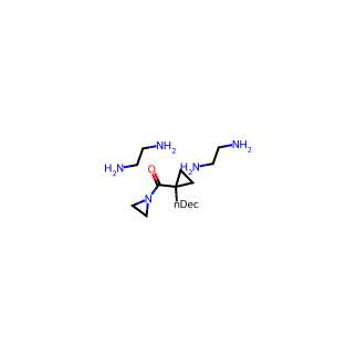 CCCCCCCCCCC1(C(=O)N2CC2)CC1.NCCN.NCCN